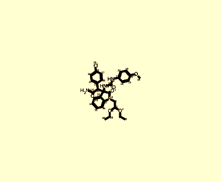 CCOC(CN1C(=O)C(NC(=O)Nc2ccc(OC)cc2)(C(C(N)=O)c2ccc(Cl)cc2)c2ccccc21)OCC